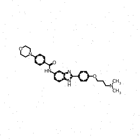 CN(C)CCCOc1ccc(-c2nc3cc(NC(=O)c4ccc(N5CCOCC5)cc4)ccc3[nH]2)cc1